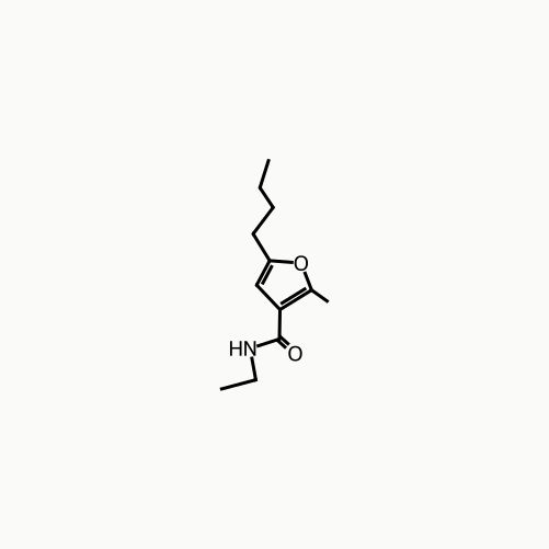 CCCCc1cc(C(=O)NCC)c(C)o1